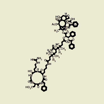 CC(=O)O[C@H]1C(=O)[C@@]2(C)[C@H]([C@H](OC(=O)c3ccccc3)[C@]3(O)C[C@H](OC(=O)[C@H](OC(=O)CCC(C)(C#N)C(C)(C)C(CC(C)(C)C(C)(C)CCC(=O)NCCCCC4NC(=O)C(Cc5ccccc5)NC(=O)C(CC(=O)O)NC(=O)CNC(O)C(CCCNC(=N)N)NC4=O)C(N)=O)[C@@H](NC(=O)c4ccccc4)c4ccccc4)C(C)=C1C3(C)C)[C@]1(OC(C)O)CO[C@@H]1C[C@@H]2O